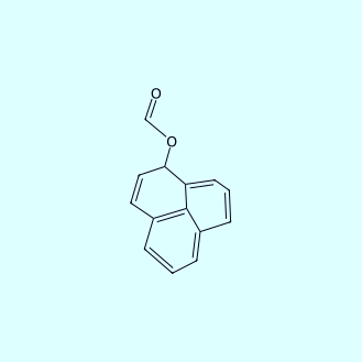 O=COC1C=Cc2cccc3cccc1c23